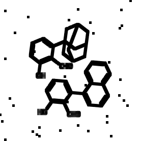 O=Cc1c(O)cccc1-c1cccc2ccccc12.O=Cc1c(O)cccc1C12CC3CC(CC(C3)C1)C2